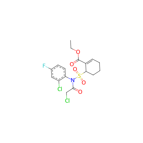 CCOC(=O)C1=CCCCC1S(=O)(=O)N(C(=O)CCl)c1ccc(F)cc1Cl